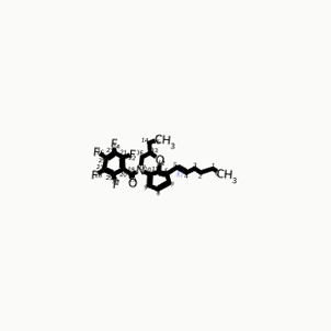 CCCC/C=C/c1cccc2c1OC(CC)CN2C(=O)c1c(F)c(F)c(F)c(F)c1F